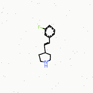 Fc1cccc(C=CC2CCNCC2)c1